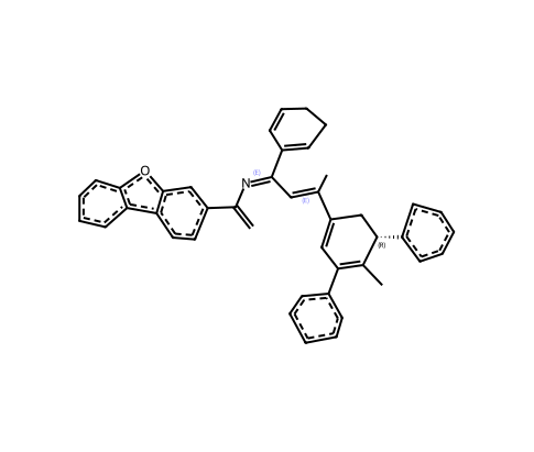 C=C(/N=C(\C=C(/C)C1=CC(c2ccccc2)=C(C)[C@@H](c2ccccc2)C1)C1=CCCC=C1)c1ccc2c(c1)oc1ccccc12